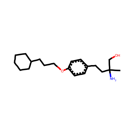 CC(N)(CO)CCc1ccc(OCCCC2CCCCC2)cc1